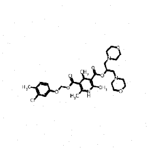 CC1=C(C(=O)OCOc2ccc(C)c(Cl)c2)C(C)C(C(=O)OC(CN2CCOCC2)CN2CCOCC2)=C(C)N1